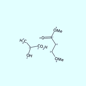 CC(O)C(=O)O.COCCC(=O)OC